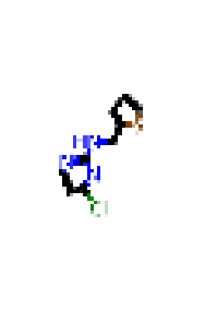 Clc1ccnc(NCc2cccs2)n1